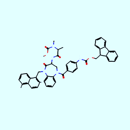 COc1ccc2c(C(=O)O)cccc2c1CN1C(=O)C(NC(=O)C(C)N(C)C(=O)OC(C)(C)C)CN(C(=O)c2ccc(NC(=O)OCC3c4ccccc4-c4ccccc43)cc2)c2ccccc21